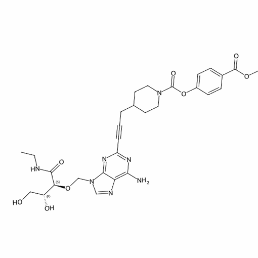 CCNC(=O)[C@@H](OCn1cnc2c(N)nc(C#CCC3CCN(C(=O)Oc4ccc(C(=O)OC)cc4)CC3)nc21)[C@H](O)CO